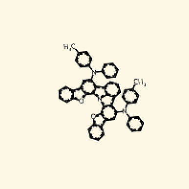 Cc1ccc(N(c2ccccc2)c2cc3c4ccccc4oc3c3c2c2cccc4c5c(N(c6ccccc6)c6ccc(C)cc6)cc6c7ccccc7oc6c5n3c24)cc1